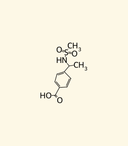 CC(NS(C)(=O)=O)c1ccc(C(=O)O)cc1